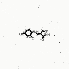 O=C1NN=CC1=CNc1ccc(Cl)cc1Cl